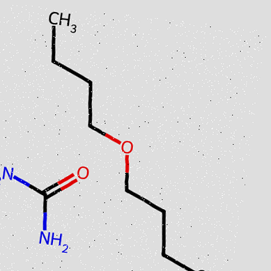 CCCCOCCCC.NC(N)=O